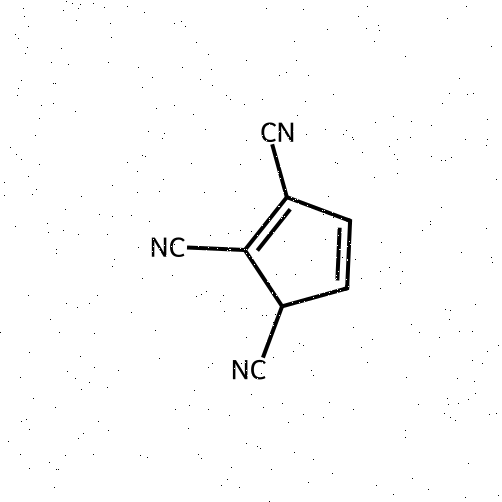 N#CC1=C(C#N)C(C#N)C=C1